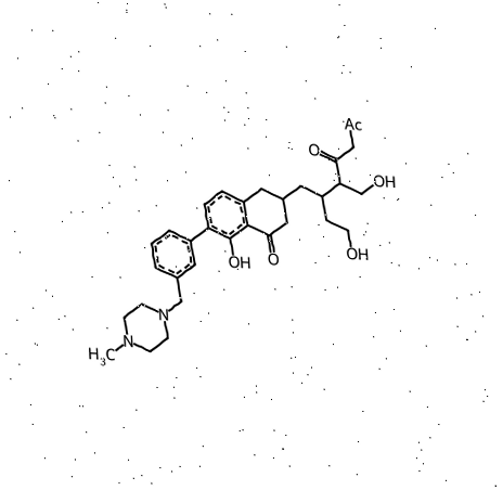 CC(=O)CC(=O)C(CO)C(CCO)CC1CC(=O)c2c(ccc(-c3cccc(CN4CCN(C)CC4)c3)c2O)C1